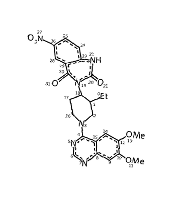 CCC1CN(c2ncnc3cc(OC)c(OC)cc23)CCC1n1c(=O)[nH]c2ccc([N+](=O)[O-])cc2c1=O